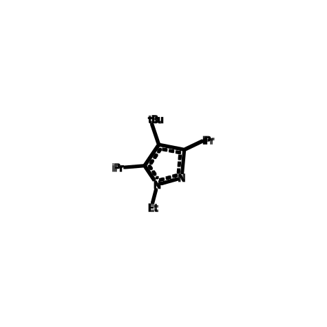 CCn1nc(C(C)C)c(C(C)(C)C)c1C(C)C